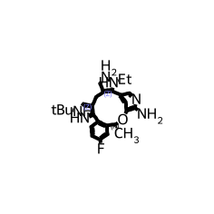 CCN/C1=C(\CN)C/C(=C/NC(C)(C)C)C(=N)c2ccc(F)cc2[C@@H](C)Oc2cc1cnc2N